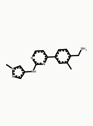 Cc1cc(-c2ccnc(Nc3cnn(C)c3)n2)ccc1CN